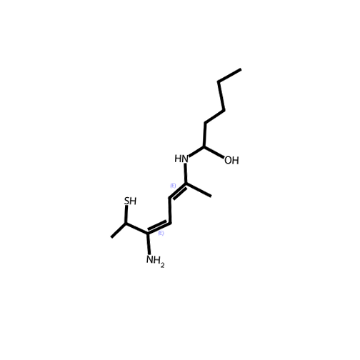 CCCCC(O)N/C(C)=C/C=C(/N)C(C)S